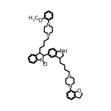 COc1ccccc1N1CCN(CCCCC2c3ccccc3N(Cl)C2c2ccc3c(c2)C(CCCCN2CCN(c4cccc5c4OCC5)CC2)CN3)CC1